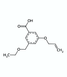 C=CCOc1cc(COCC)cc(C(=O)O)c1